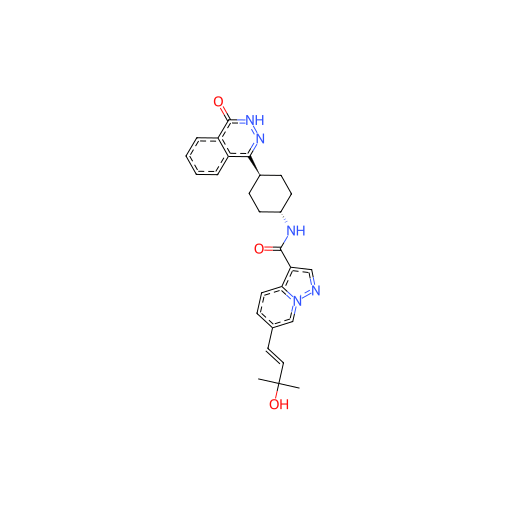 CC(C)(O)/C=C/c1ccc2c(C(=O)N[C@H]3CC[C@H](c4n[nH]c(=O)c5ccccc54)CC3)cnn2c1